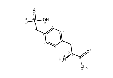 CC(=O)[C@@H](N)Cc1ccc(CP(=O)(O)O)cc1